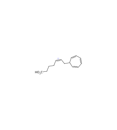 O=C(O)CCC/C=C\CC1C=CC=CC=C1